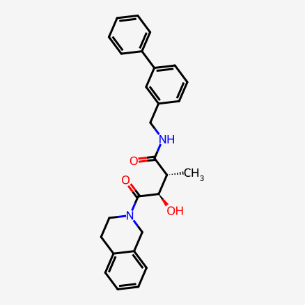 C[C@@H](C(=O)NCc1cccc(-c2ccccc2)c1)[C@@H](O)C(=O)N1CCc2ccccc2C1